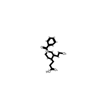 O=C(O)CCC1CCN(C(=O)c2ccccc2)CC1CCCl